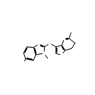 Cn1c(Nc2c[nH]c3c2N=C(Cl)CC3)nc2ccc(C(F)(F)F)cc21